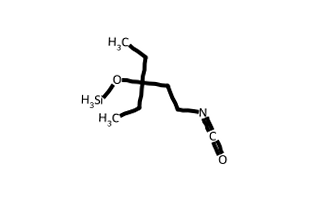 CCC(CC)(CCN=C=O)O[SiH3]